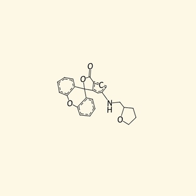 O=C1OC2(c3ccccc3Oc3ccccc32)c2cc(NCC3CCCO3)ccc21